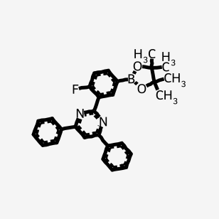 CC1(C)OB(c2ccc(F)c(-c3nc(-c4ccccc4)cc(-c4ccccc4)n3)c2)OC1(C)C